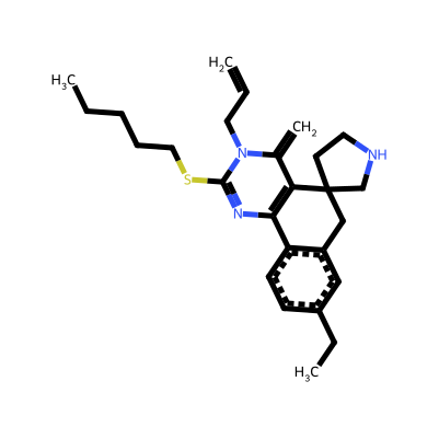 C=CCN1C(=C)C2=C(N=C1SCCCCC)c1ccc(CC)cc1CC21CCNC1